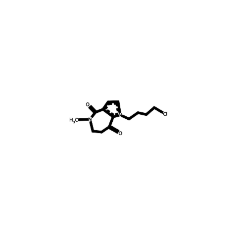 CN1CCC(=O)c2c(ccn2CCCCCl)C1=O